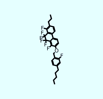 CCCCCc1ccc(COc2ccc3c(c2F)C(F)(F)C(F)(F)c2c-3ccc(CCC)c2F)c(F)c1